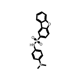 CN(C)c1ccc(NS(=O)(=O)c2ccc3oc4ccccc4c3c2)cc1